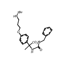 CC(C)(C)NCCCOc1ccc(C(C)(NC(=O)OCc2ccccc2)C(=O)O)cc1